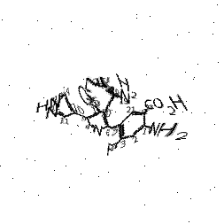 Nc1cc(F)c(-c2ncc(-c3cn[nH]c3)c3onc(N)c23)cc1C(=O)O